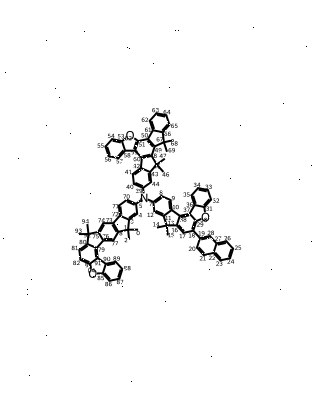 CC1(C)c2cc(N(c3ccc4c(c3)C(C)(C)c3cc(-c5ccc6ccccc6c5)c5oc6ccccc6c5c3-4)c3ccc4c(c3)C(C)(C)c3c5c(c6oc7ccccc7c6c3-4)-c3ccccc3C5(C)C)ccc2-c2cc3c(cc21)-c1c(ccc2oc4ccccc4c12)C3(C)C